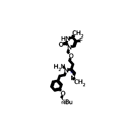 C=N/C=C(/CCOCN1C=C(F)C(=C)NC1=O)N(N)CCc1cccc(OC[C@@H](C)CC)c1